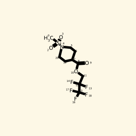 CS(=O)(=O)N1CCC(C(=O)OCC(F)(F)C(F)(F)F)CC1